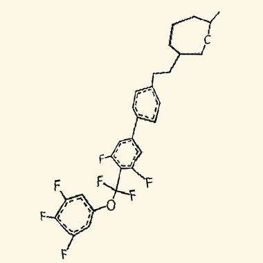 CC1CCCC(CCc2ccc(-c3cc(F)c(C(F)(F)Oc4cc(F)c(F)c(F)c4)c(F)c3)cc2)CC1